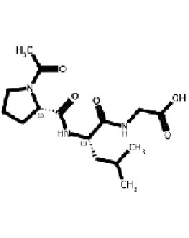 CC(=O)N1CCC[C@H]1C(=O)N[C@@H](CC(C)C)C(=O)NCC(=O)O